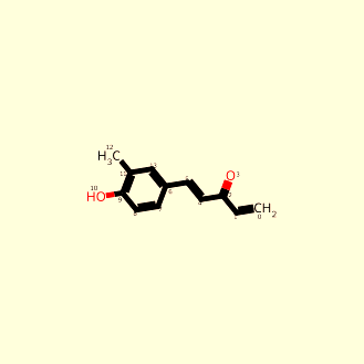 C=CC(=O)/C=C/c1ccc(O)c(C)c1